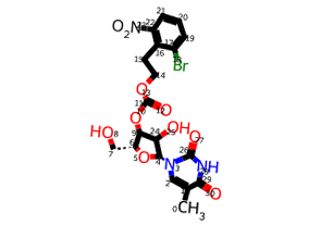 Cc1cn([C@@H]2O[C@H](CO)C(OC(=O)OCCc3c(Br)cccc3[N+](=O)[O-])C2O)c(=O)[nH]c1=O